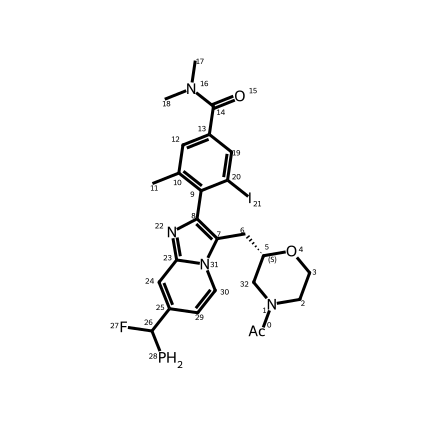 CC(=O)N1CCO[C@@H](Cc2c(-c3c(C)cc(C(=O)N(C)C)cc3I)nc3cc(C(F)P)ccn23)C1